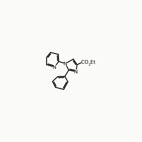 CCOC(=O)c1cn(-c2ccccn2)c(-c2ccccc2)n1